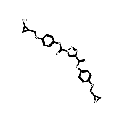 O=C(Oc1ccc(OCC2CO2)cc1)c1cn(C(=O)Oc2ccc(OCC3CC3O)cc2)nn1